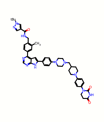 Cc1cc(-c2ncnc3[nH]c(-c4ccc(N5CCN(CC6CCN(c7ccc(N8CCC(=O)NC8=O)cc7)CC6)CC5)cc4)cc23)ccc1CNC(=O)c1cnn(C(C)(C)C)c1